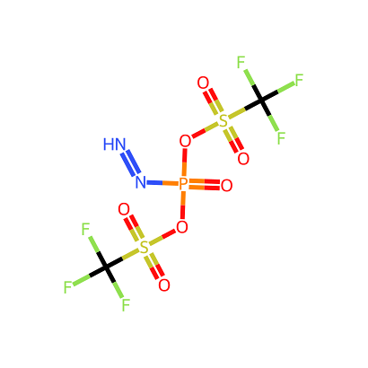 N=NP(=O)(OS(=O)(=O)C(F)(F)F)OS(=O)(=O)C(F)(F)F